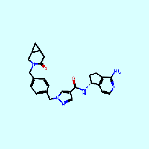 Nc1nccc2c1CC[C@H]2NC(=O)c1cnn(Cc2ccc(CN3CC4CC4CC3=O)cc2)c1